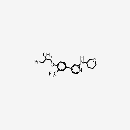 CC(C)CC(C)COc1ccc(-c2ccnc(NC3CCCOC3)c2)cc1C(F)(F)F